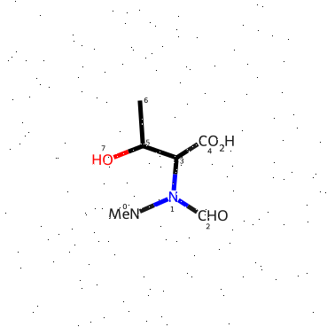 CNN(C=O)C(C(=O)O)C(C)O